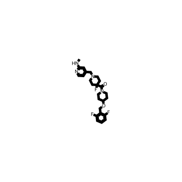 CNc1cc(CN2CCC(F)(C(=O)N3CCC(OCc4c(F)cccc4F)CC3)CC2)ccn1